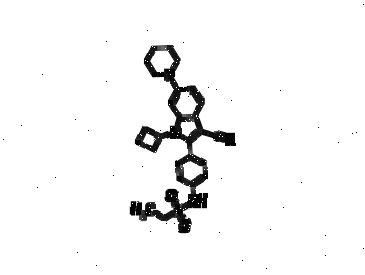 CCS(=O)(=O)Nc1ccc(-c2c(C#N)c3ccc(N4CCCCC4)cc3n2C2CCC2)cc1